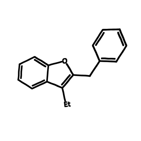 CCc1c(Cc2ccccc2)oc2ccccc12